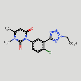 Cn1c(C(F)(F)F)cc(=O)n(-c2ccc(Cl)c(-c3nnn(CC(=O)O)n3)c2)c1=O